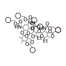 CCC1OC(OC2C(CC)OC(OC3C(OC(=O)c4ccccc4)C(NC(=O)OCc4ccccc4)CC(NC(=O)OCc4ccccc4)C3OC3OC4COC(c5ccccc5)OC4C(C)C3C)C2OC(=O)c2ccccc2)C(NC(=O)OCc2ccccc2)C(OC(=O)c2ccccc2)C1C